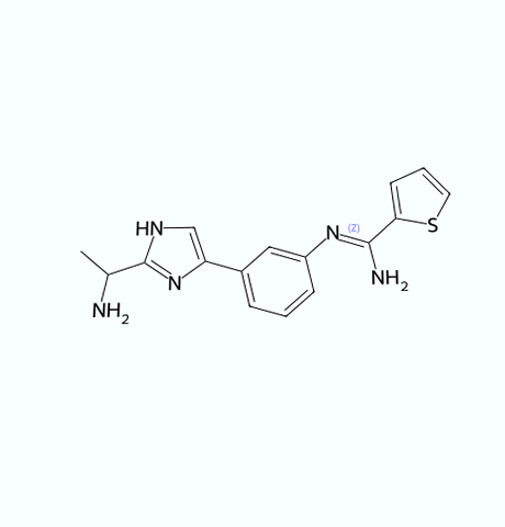 CC(N)c1nc(-c2cccc(/N=C(\N)c3cccs3)c2)c[nH]1